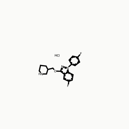 Cl.Fc1ccc(-n2nc(OCC3CCCNC3)c3cc(F)ccc32)cc1